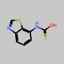 OC(=S)Nc1cccc2ncsc12